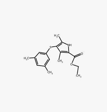 CCOC(=O)c1[nH]c(C)c(Sc2cc(C)cc(C)c2)c1C